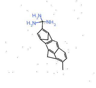 Cc1ccc2cc3c(c4c2c1C4)C1=CC(C(N)(N)N)=C3C1